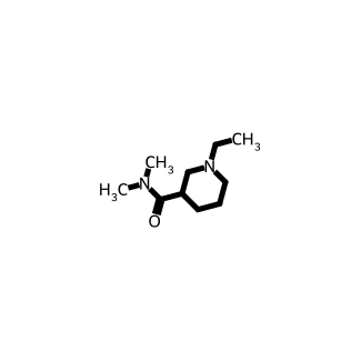 CCN1CCCC(C(=O)N(C)C)C1